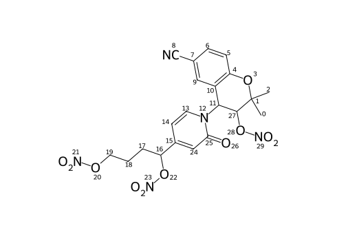 CC1(C)Oc2ccc(C#N)cc2C(n2ccc(C(CCCO[N+](=O)[O-])O[N+](=O)[O-])cc2=O)C1O[N+](=O)[O-]